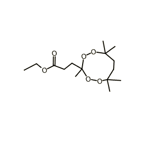 CCOC(=O)CCC1(C)OOC(C)(C)CCC(C)(C)OO1